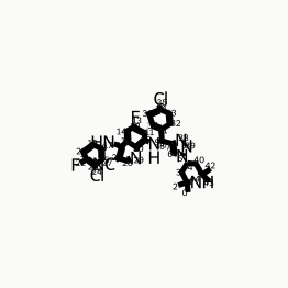 CC1(C)CC(n2cc([C@@H](Nc3cc(F)cc4c(Nc5ccc(F)c(Cl)c5)c(C#N)cnc34)c3ccc(Cl)cc3)nn2)CC(C)(C)N1